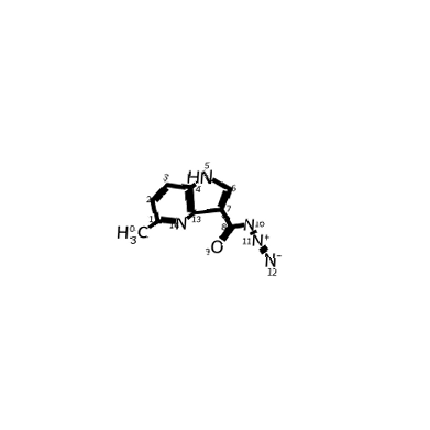 Cc1ccc2[nH]cc(C(=O)N=[N+]=[N-])c2n1